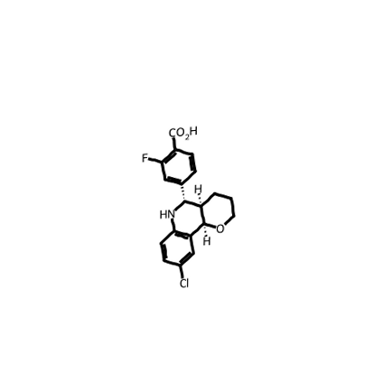 O=C(O)c1ccc([C@H]2Nc3ccc(Cl)cc3[C@@H]3OCCC[C@H]23)cc1F